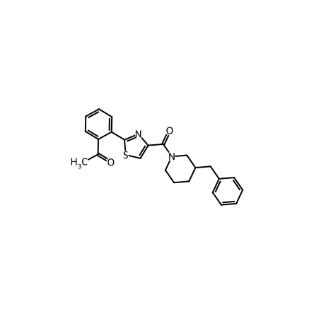 CC(=O)c1ccccc1-c1nc(C(=O)N2CCCC(Cc3ccccc3)C2)cs1